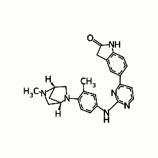 Cc1cc(Nc2nccc(-c3ccc4c(c3)CC(=O)N4)n2)ccc1N1C[C@@H]2C[C@H]1CN2C